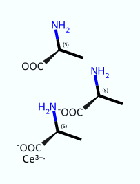 C[C@H](N)C(=O)[O-].C[C@H](N)C(=O)[O-].C[C@H](N)C(=O)[O-].[Ce+3]